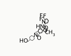 COc1cc2c(cc1NC(=O)c1cccc(C(F)(F)F)n1)CN([C@H]1CC[C@H](CO)CC1)C2=O